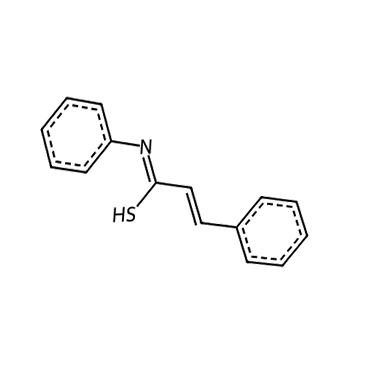 SC(C=Cc1ccccc1)=Nc1ccccc1